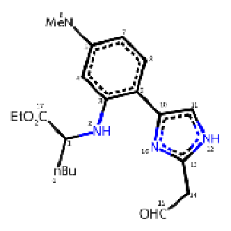 CCCCC(Nc1cc(NC)ccc1-c1c[nH]c(CC=O)n1)C(=O)OCC